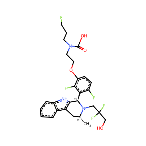 C[C@@H]1Cc2c([nH]c3ccccc23)[C@@H](c2c(F)ccc(OCCN(CCCF)C(=O)O)c2F)N1CC(F)(F)CO